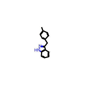 Cc1ccc(Cc2n[nH]c3ccc[c]c23)cc1